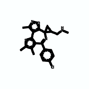 CNCC1CC12N=C(c1ccc(Cl)cc1)c1c(sc(C)c1C)-c1c(C)noc12